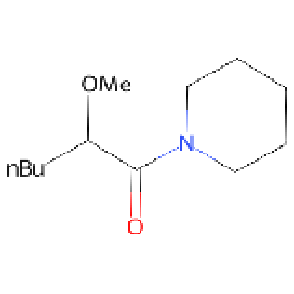 CCCCC(OC)C(=O)N1CCCCC1